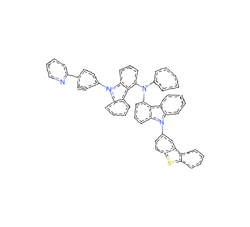 c1c(-c2ccccn2)ccc(-n2c3ccccc3c3c(N(c4ccccc4)c4cccc5c4c4ccccc4n5-c4ccc5sc6ccccc6c5c4)cccc32)c#1